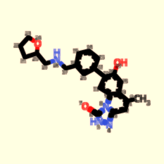 Cc1cc2n[nH]c(=O)n2c2cc(-c3cccc(CNCC4CCCO4)c3)c(O)cc12